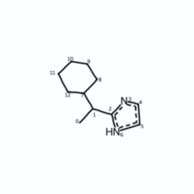 CC(c1ncc[nH]1)C1CCCCC1